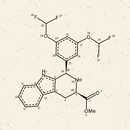 COC(=O)[C@H]1Cc2c([nH]c3ccccc23)[C@@H](c2cc(OC(F)F)cc(OC(F)F)c2)N1